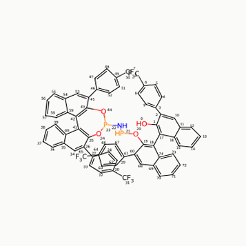 Oc1c(-c2ccc(C(F)(F)F)cc2)cc2ccccc2c1-c1c(OPNp2oc3c(-c4ccc(C(F)(F)F)cc4)cc4ccccc4c3c3c(o2)c(-c2ccc(C(F)(F)F)cc2)cc2ccccc23)c(-c2ccc(C(F)(F)F)cc2)cc2ccccc12